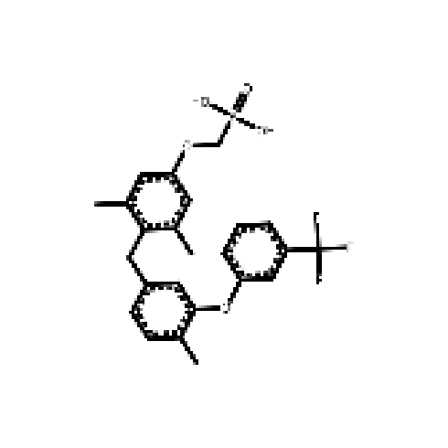 Cc1ccc(Cc2c(C)cc(OCP(=O)(O)O)cc2C)cc1Oc1cccc(C(F)(F)F)c1